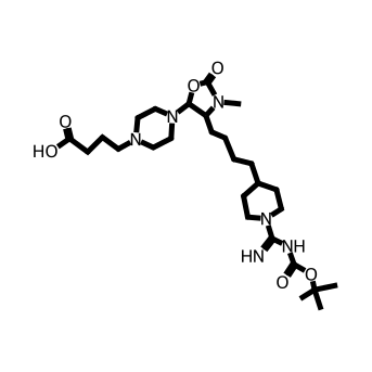 CN1C(=O)OC(N2CCN(CCCC(=O)O)CC2)C1CCCCC1CCN(C(=N)NC(=O)OC(C)(C)C)CC1